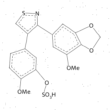 COc1ccc(-c2csnc2-c2cc(OC)c3c(c2)OCO3)cc1OS(=O)(=O)O